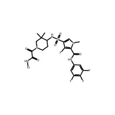 CCNC(=O)C(=O)N1CCC(NS(=O)(=O)c2cn(C)c(C(=O)Nc3cc(F)c(F)c(F)c3)c2F)C(C)(C)C1